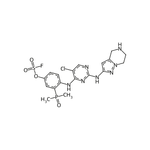 CP(C)(=O)c1cc(OS(=O)(=O)F)ccc1Nc1nc(Nc2cc3n(n2)CCNC3)ncc1Cl